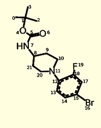 CC(C)(C)OC(=O)NC1CCN(c2ccc(Br)cc2F)CC1